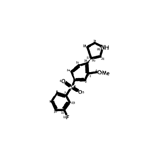 COc1cc(S(=O)(=O)c2cccc(F)c2)ccc1[C@@H]1CCNC1